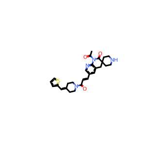 CC(=O)N1C(=O)C2(CCNCC2)Cc2cc(/C=C/C(=O)N3CCC(=Cc4cccs4)CC3)cnc21